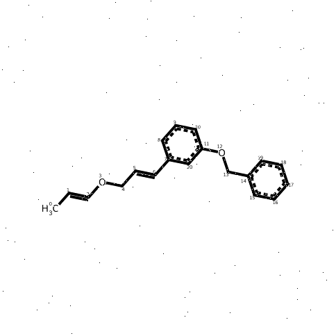 C/C=C/OC/C=C/c1cccc(OCc2ccccc2)c1